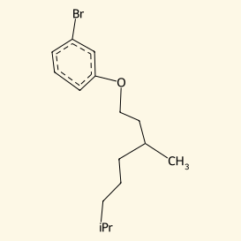 CC(C)CCCC(C)CCOc1cccc(Br)c1